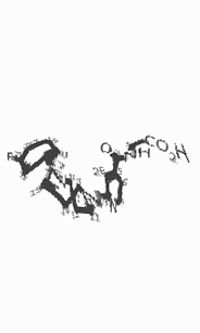 O=C(O)CNC(=O)c1ccnc(N2CCC3(CCN(c4cccc(F)c4)C3)C2)c1